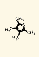 Cc1sc([SiH3])c(C)c1C